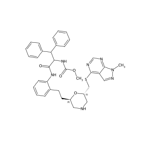 COC(=O)NC(C(=O)Nc1ccccc1CC[C@@H]1CNC[C@@H](CSc2ncnc3c2cnn3C)O1)C(c1ccccc1)c1ccccc1